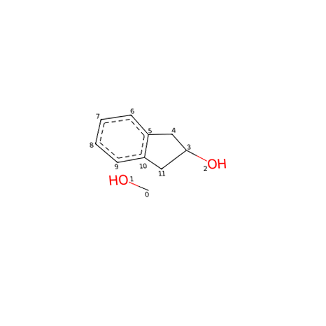 CO.OC1Cc2ccccc2C1